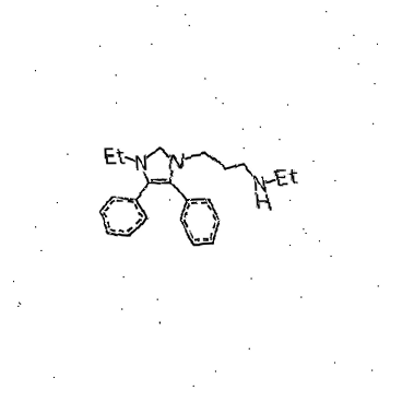 CCNCCCN1CN(CC)C(c2ccccc2)=C1c1ccccc1